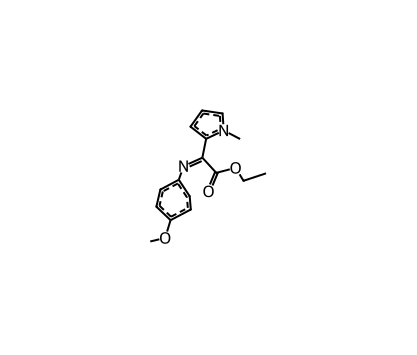 CCOC(=O)C(=Nc1ccc(OC)cc1)c1cccn1C